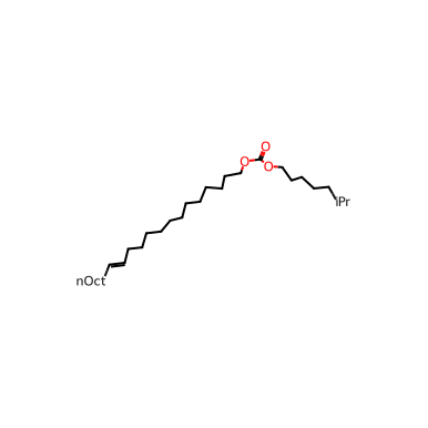 CCCCCCCCC=CCCCCCCCCCCCCOC(=O)OCCCCCC(C)C